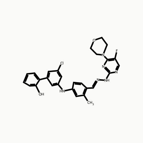 Cc1cc(Nc2cc(Cl)cc(-c3ccccc3O)c2)ccc1/C=N/Nc1ncc(F)c(N2CCOCC2)n1